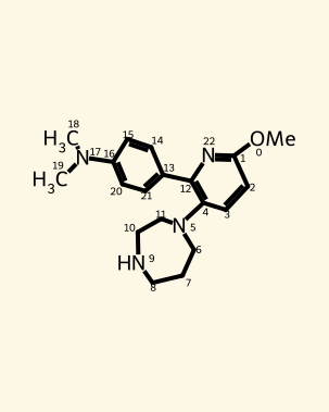 COc1ccc(N2CCCNCC2)c(-c2ccc(N(C)C)cc2)n1